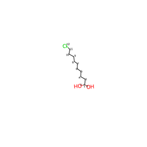 OC(O)CCCCCCCCCCl